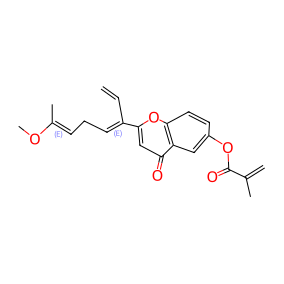 C=C/C(=C\C/C=C(\C)OC)c1cc(=O)c2cc(OC(=O)C(=C)C)ccc2o1